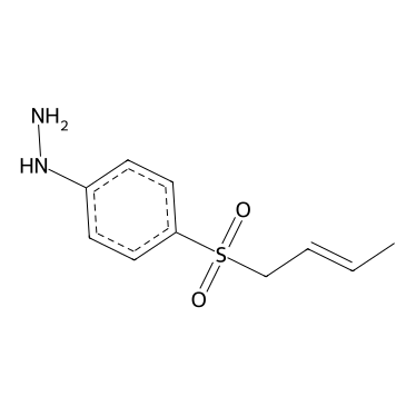 CC=CCS(=O)(=O)c1ccc(NN)cc1